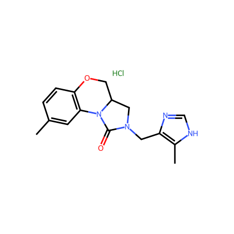 Cc1ccc2c(c1)N1C(=O)N(Cc3nc[nH]c3C)CC1CO2.Cl